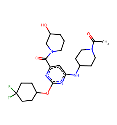 CC(=O)N1CCC(Nc2cc(C(=O)N3CCCC(O)C3)nc(OC3CCC(F)(F)CC3)n2)CC1